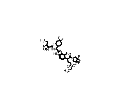 CCc1nonc1C(=O)N[C@H](c1nc2c(F)c(C(CCS(=O)(=O)CC)C(=O)N3CC(F)(F)C(F)(F)C3)ccc2[nH]1)C1CCC(F)(F)CC1